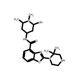 CCCC1CC(NC(=O)c2cccc3oc(N4CCNCC4(C)C)nc23)CC(C)N1C